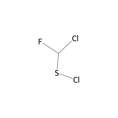 FC(Cl)SCl